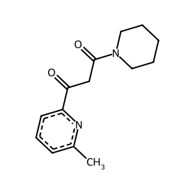 Cc1cccc(C(=O)CC(=O)N2CCCCC2)n1